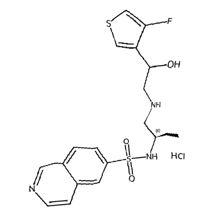 C[C@H](CNCC(O)c1cscc1F)NS(=O)(=O)c1ccc2cnccc2c1.Cl